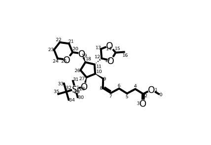 COC(=O)CCC/C=C\C[C@@H]1[C@@H](C2COC(C)O2)[C@H](OC2CCCCO2)C[C@@H]1O[Si](C)(C)C(C)(C)C